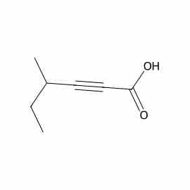 CCC(C)C#CC(=O)O